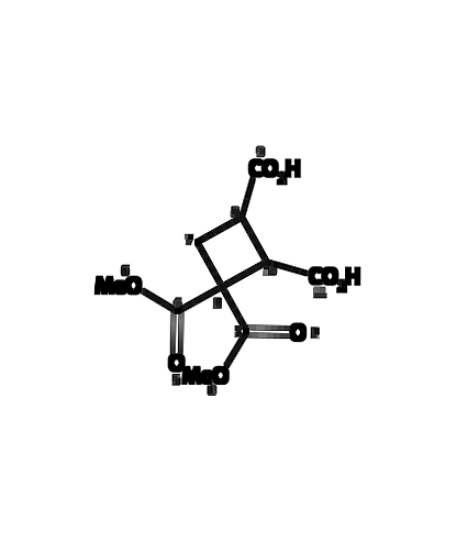 COC(=O)C1(C(=O)OC)CC(C(=O)O)C1C(=O)O